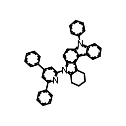 c1ccc(-c2cc(-c3ccccc3)nc(-n3c4c(c5c6c7ccccc7n(-c7ccccc7)c6ccc53)CCCC4)c2)cc1